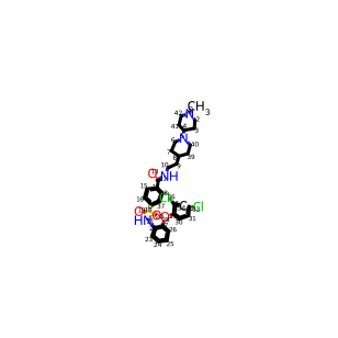 CN1CCC(N2CCC(CCNC(=O)c3ccc(S(=O)(=O)Nc4ccccc4Oc4ccc(Cl)cc4Cl)cc3)CC2)CC1